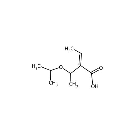 C/C=C(/C(=O)O)C(C)OC(C)C